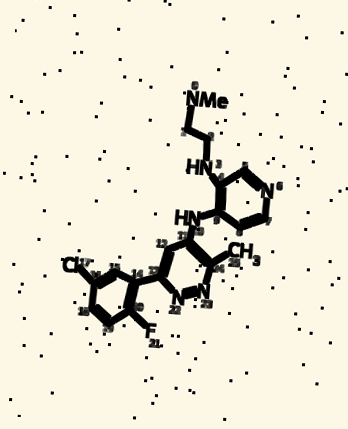 CNCCNc1cnccc1Nc1cc(-c2cc(Cl)ccc2F)nnc1C